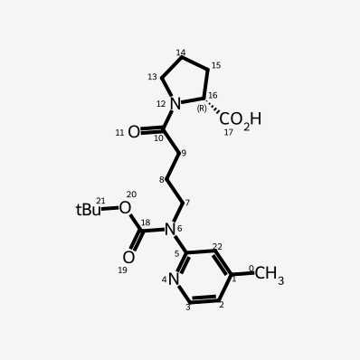 Cc1ccnc(N(CCCC(=O)N2CCC[C@@H]2C(=O)O)C(=O)OC(C)(C)C)c1